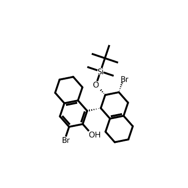 CC(C)(C)[Si](C)(C)O[C@@H]1[C@H](Br)CC2=C(CCCC2)[C@@H]1c1c(O)c(Br)cc2c1CCCC2